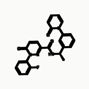 C[C@@H](NC(=O)c1ccc(=O)n(-c2ccccc2F)n1)c1cccc(-n2ccccc2=O)c1